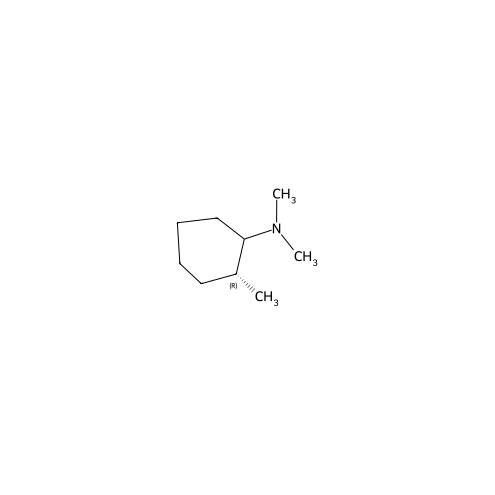 C[C@@H]1CCCCC1N(C)C